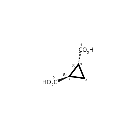 O=C(O)[C@@H]1C[C@H]1C(=O)O